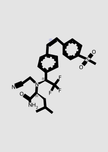 CC(C)C[C@@H](C(N)=O)N(CC#N)[C@@H](c1ccc(/C=C\c2ccc(S(C)(=O)=O)cc2)cc1)C(F)(F)F